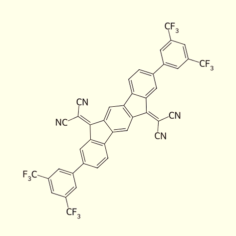 N#CC(C#N)=C1c2cc(-c3cc(C(F)(F)F)cc(C(F)(F)F)c3)ccc2-c2cc3c(cc21)-c1ccc(-c2cc(C(F)(F)F)cc(C(F)(F)F)c2)cc1C3=C(C#N)C#N